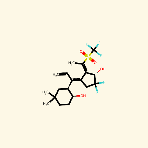 C=C/C(=C1/CC(F)(F)[C@@H](O)/C1=C(/C)S(=O)(=O)C(F)(F)F)[C@@H]1CC(C)(C)CC[C@@H]1O